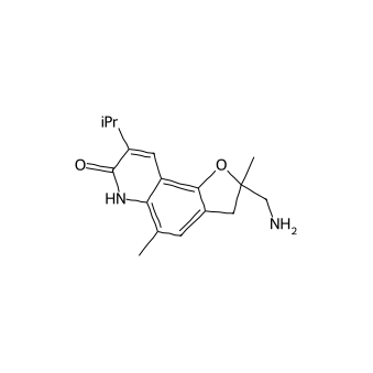 Cc1cc2c(c3cc(C(C)C)c(=O)[nH]c13)OC(C)(CN)C2